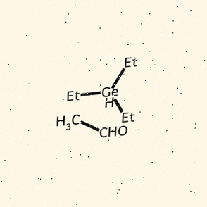 CC=O.C[CH2][GeH]([CH2]C)[CH2]C